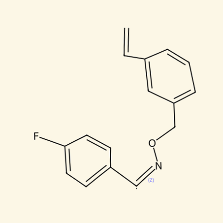 C=Cc1cccc(CO/N=[C]\c2ccc(F)cc2)c1